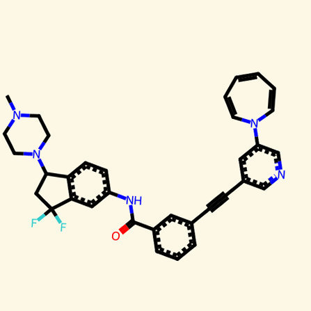 CN1CCN(C2CC(F)(F)c3cc(NC(=O)c4cccc(C#Cc5cncc(N6C=CC=CC=C6)c5)c4)ccc32)CC1